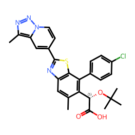 Cc1cc2nc(-c3ccn4nnc(C)c4c3)sc2c(-c2ccc(Cl)cc2)c1[C@H](OC(C)(C)C)C(=O)O